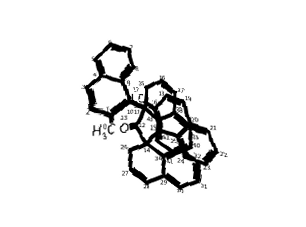 Cc1ccc2ccccc2c1C1(C(=O)C2(c3c(C)ccc4ccccc34)CC=Cc3ccccc32)CC=Cc2ccccc21